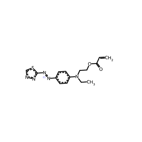 C=CC(=O)OCCN(CC)c1ccc(/N=N/c2nncs2)cc1